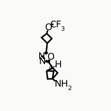 NC12CC(C1)[C@@H](c1nnc(C3CC(OC(F)(F)F)C3)o1)C2